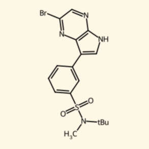 CN(C(C)(C)C)S(=O)(=O)c1cccc(-c2c[nH]c3ncc(Br)nc23)c1